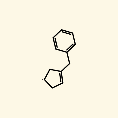 [CH]1CC=C(Cc2ccccc2)C1